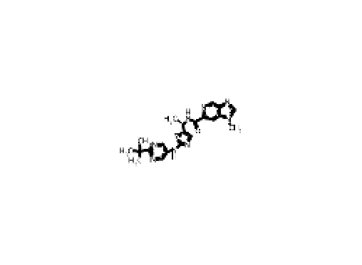 C[C@@H](NC(=O)c1cc2c(cn1)ncn2C)c1cnc(Nc2cnc(C(C)(C)C)nc2)s1